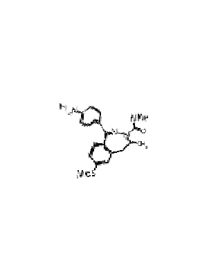 CNC(=O)N1N=C(c2ccc(N)cc2)c2ccc(SC)cc2CC1C